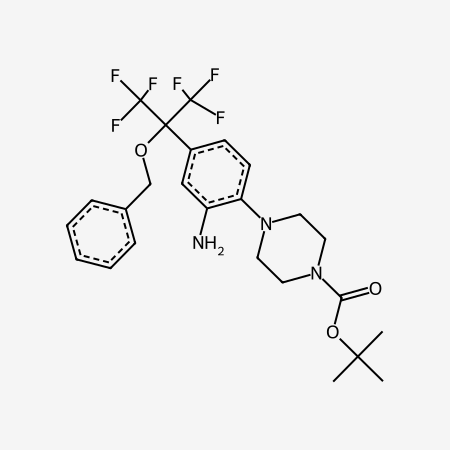 CC(C)(C)OC(=O)N1CCN(c2ccc(C(OCc3ccccc3)(C(F)(F)F)C(F)(F)F)cc2N)CC1